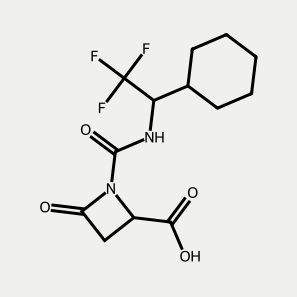 O=C(O)C1CC(=O)N1C(=O)NC(C1CCCCC1)C(F)(F)F